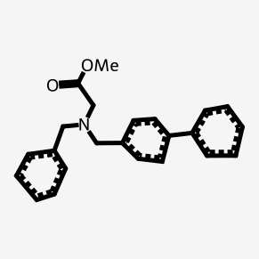 COC(=O)CN(Cc1ccccc1)Cc1ccc(-c2ccccc2)cc1